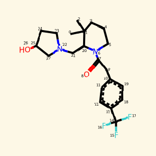 CC1(C)CCCN(C(=O)Cc2ccc(C(F)(F)F)cc2)C1CN1CCC(O)C1